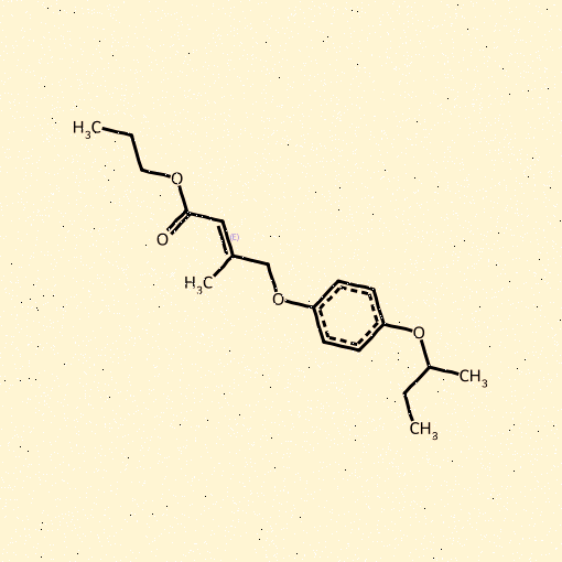 CCCOC(=O)/C=C(\C)COc1ccc(OC(C)CC)cc1